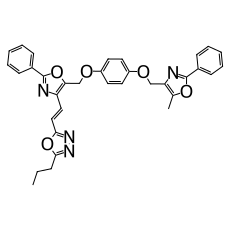 CCCc1nnc(C=Cc2nc(-c3ccccc3)oc2COc2ccc(OCc3nc(-c4ccccc4)oc3C)cc2)o1